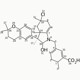 CC1CC=C(CN2C3=CCC(C)(Cl)CC3(C)[C@](C)(c3ccc4c(c3)CCC(C)(C)O4)C2O)C=C1C(=O)O